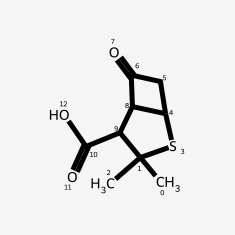 CC1(C)SC2CC(=O)C2C1C(=O)O